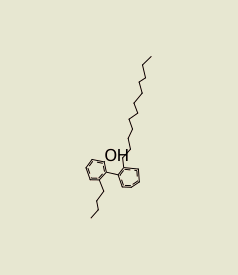 CCCCCCCCCCCCc1ccccc1-c1c(O)cccc1CCCC